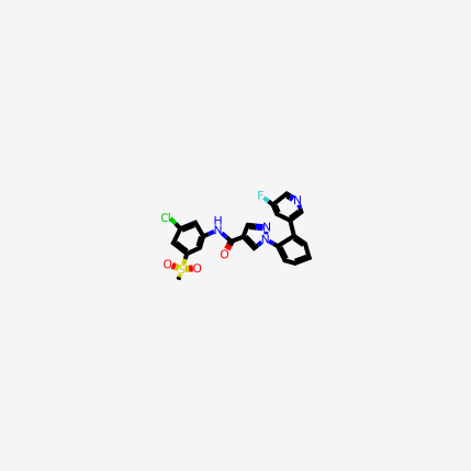 CS(=O)(=O)c1cc(Cl)cc(NC(=O)c2cnn(-c3ccccc3-c3cncc(F)c3)c2)c1